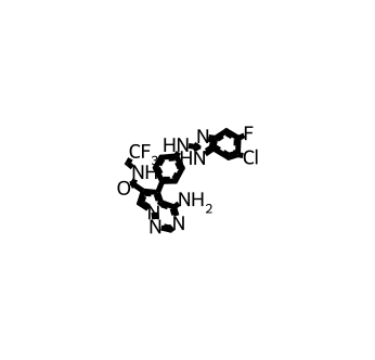 Nc1ncnn2cc(C(=O)NCC(F)(F)F)c(-c3ccc(Nc4nc5cc(F)c(Cl)cc5[nH]4)cc3)c12